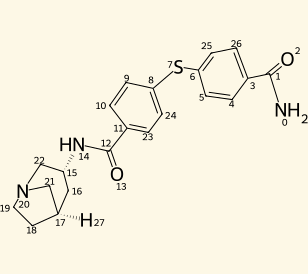 NC(=O)c1ccc(Sc2ccc(C(=O)N[C@@H]3C[C@H]4CCN(C4)C3)cc2)cc1